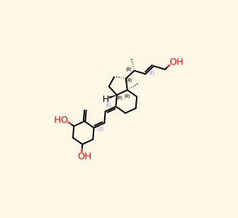 C=C1/C(=C\C=C2/CCC[C@]3(C)[C@@H]([C@H](C)/C=C/CO)CC[C@@H]23)CC(O)CC1O